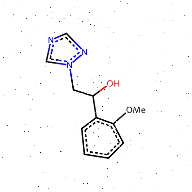 COc1ccccc1C(O)Cn1cncn1